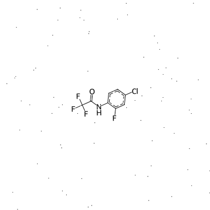 O=C(Nc1ccc(Cl)cc1F)C(F)(F)F